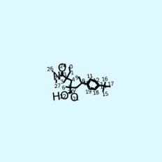 CCC(C)(CC(C)(CC(C)c1ccc(C(C)(C)C)cc1)C(=O)O)C(=O)N(C)C